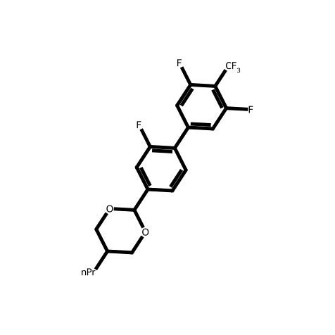 CCCC1COC(c2ccc(-c3cc(F)c(C(F)(F)F)c(F)c3)c(F)c2)OC1